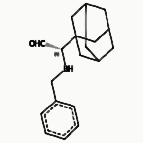 O=C[C@@H](BCc1ccccc1)C12CC3CC(CC(C3)C1)C2